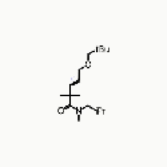 CC(C)CN(C)C(=O)C(C)(C)/C=C/COCC(C)(C)C